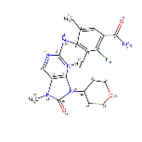 Cc1cc(C(N)=O)c(F)c(C)c1Nc1ncc2c(n1)n(C1CCOCC1)c(=O)n2C